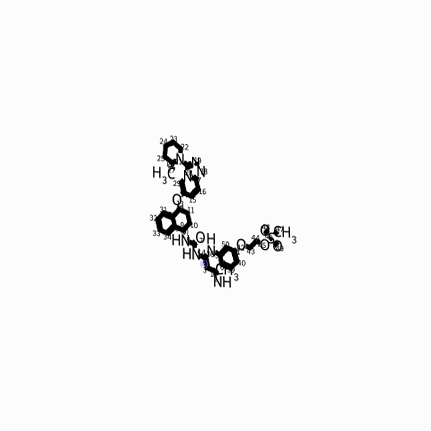 CC(=N)/C=C(/NC(=O)N[C@H]1CC[C@@H](Oc2ccc3nnc(N4CCCC[C@@H]4C)n3c2)c2ccccc21)Nc1cccc(OCCOS(C)(=O)=O)c1